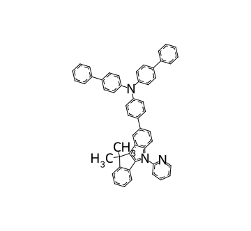 CC1(C)c2ccccc2-c2c1c1cc(-c3ccc(N(c4ccc(-c5ccccc5)cc4)c4ccc(-c5ccccc5)cc4)cc3)ccc1n2-c1ccccn1